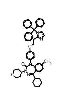 Cc1ccc2c(c1)N(c1ccc(OCCc3nccn3C(c3ccccc3)(c3ccccc3)c3ccccc3)cc1)C(=O)N(C1CCOCC1)N=C2C1CCCCC1